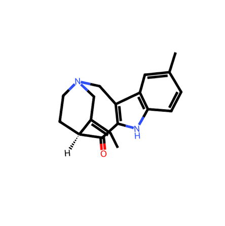 C/C=C1/CN2CC[C@@H]1C(=O)c1[nH]c3ccc(C)cc3c1C2